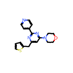 c1csc(Cc2cc(N3CCOCC3)nc(-c3ccncc3)n2)c1